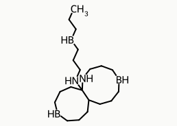 CCCBCCCNC12CCCBCCCC1CCCBCCCN2